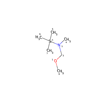 COCN(C)[Si](C)(C)C